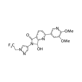 COc1cc(-c2ccc3c(n2)C(O)N(c2cnn(CC(F)(F)F)c2)C3=O)cnc1OC